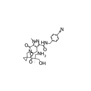 Cn1nc(C(=O)NCc2ccc(C#N)cc2)c2c1C(=O)N(CC1(S(=O)(=O)[C@@](C)(CN)CO)CC1)CC2